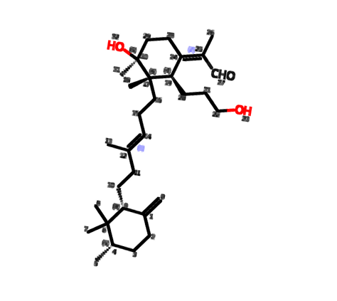 C=C1CC[C@H](C)C(C)(C)[C@@H]1CC/C(C)=C/CC[C@@]1(C)[C@H](CCCO)/C(=C(/C)C=O)CC[C@]1(C)O